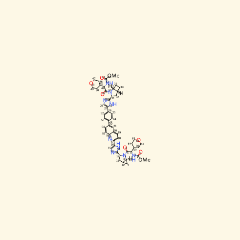 COC(=O)N[C@H](C(=O)N1[C@@H]2CC2C[C@H]1c1ncc(-c2ccc3cc(-c4ccc(-c5cnc([C@@H]6C[C@H]7CC[C@H]7N6C(=O)[C@@H](NC(=O)OC)C6CCOCC6)[nH]5)cc4)ccc3n2)[nH]1)C1CCOCC1